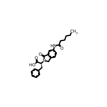 CCCCCC(=O)Nc1ccc2c(c1)C(=O)N([C@@H](Cc1ccccc1)C(=O)O)C2